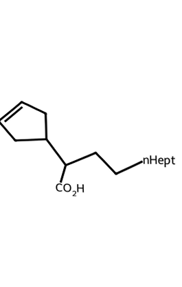 CCCCCCCCCC(C(=O)O)C1CC=CC1